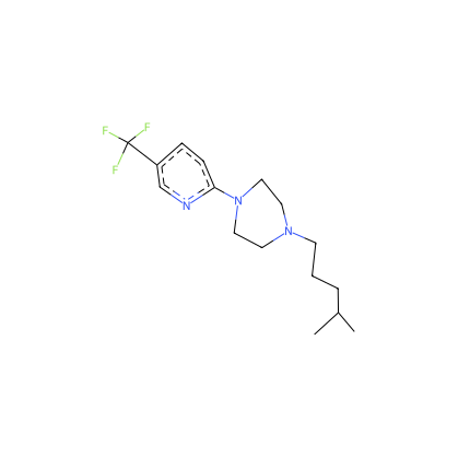 CC(C)CCCN1CCN(c2ccc(C(F)(F)F)cn2)CC1